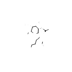 CC(=O)N[C@H]1[C@H](O[C@H](CO)[C@@H](O)[C@@H](O)CO)O[C@H](CO)[C@@H](O)[C@@H]1O